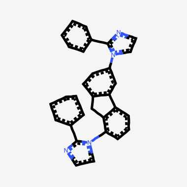 c1ccc(-c2nccn2-c2ccc3c(c2)-c2cccc(-n4ccnc4-c4ccccc4)c2C3)cc1